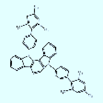 FC(F)(F)c1cc(C(F)(F)F)c(-c2ccc(-n3c4ccccc4c4c3ccc3c5ccccc5n(-c5ccc(-c6c(C(F)(F)F)cc(C(F)(F)F)cc6C(F)(F)F)cc5)c34)cc2)c(C(F)(F)F)c1